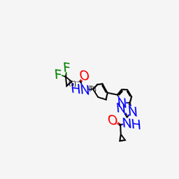 O=C(Nc1nc2cccc(C3=CC[C@H](NC(=O)[C@@H]4CC4(F)F)CC3)n2n1)C1CC1